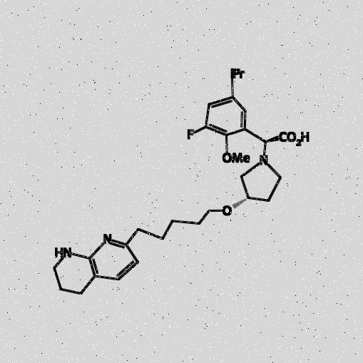 COc1c(F)cc(C(C)C)cc1[C@@H](C(=O)O)N1CC[C@H](OCCCCCc2ccc3c(n2)NCCC3)C1